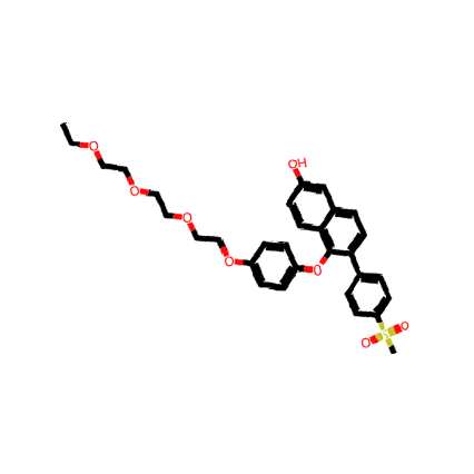 [CH2]COCCOCCOCCOc1ccc(Oc2c(-c3ccc(S(C)(=O)=O)cc3)ccc3cc(O)ccc23)cc1